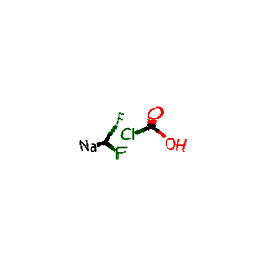 F[CH](F)[Na].O=C(O)Cl